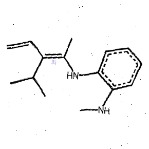 C=C/C(=C(\C)Nc1ccccc1NC)C(C)C